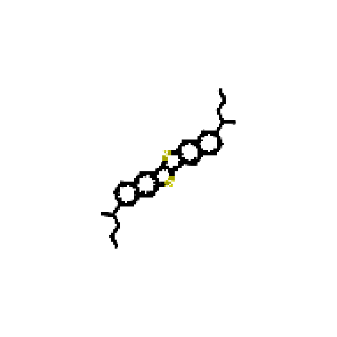 CCCC(C)c1ccc2cc3c(cc2c1)sc1c2cc4ccc(C(C)CCC)cc4cc2sc31